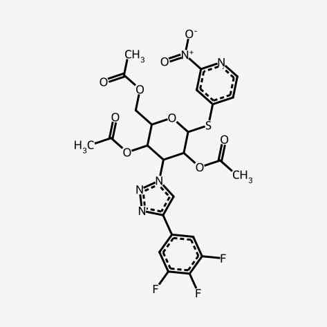 CC(=O)OCC1OC(Sc2ccnc([N+](=O)[O-])c2)C(OC(C)=O)C(n2cc(-c3cc(F)c(F)c(F)c3)nn2)C1OC(C)=O